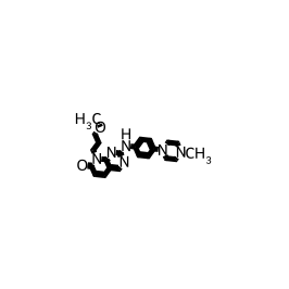 COCCCn1c(=O)ccc2cnc(Nc3ccc(N4CCN(C)CC4)cc3)nc21